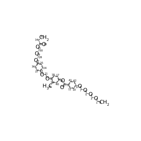 C=COCOCOCOc1ccc(C(=O)Oc2ccc(OCOc3ccc(OCOCOC(=O)C=C)cc3)c(C)c2)cc1